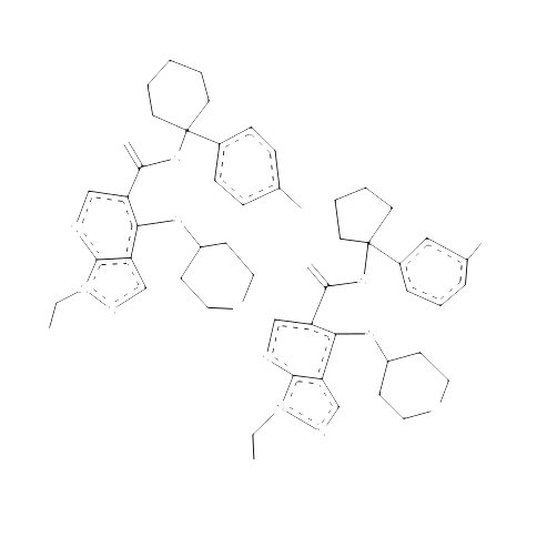 CCn1ncc2c(NC3CCOCC3)c(C(=O)NC3(c4ccc(F)cc4)CCCCC3)cnc21.CCn1ncc2c(NC3CCOCC3)c(C(=O)NC3(c4cccc(Cl)c4)CCCC3)cnc21